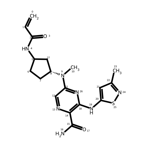 C=CC(=O)NC1CC[C@@H](N(C)c2cnc(C(N)=O)c(Nc3cc(C)ns3)n2)C1